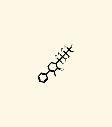 CC1=C(c2ccccc2)CCC(C(F)(F)C(F)(F)C(F)(F)C(F)(F)F)C1=O